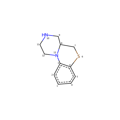 c1ccc2c(c1)SCC1CNCCN21